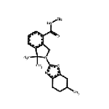 CC1CCc2nc(N3Cc4c(C(=O)NO)cccc4C3(C)C)oc2C1